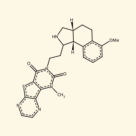 COc1cccc2c1CC[C@H]1CNC(CCn3c(=O)c4sc5nccnc5c4n(C)c3=O)[C@@H]21